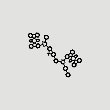 CC1(C)c2cc(-c3cccc(-c4cc(-c5ccc(-c6ccccc6)cc5)nc(-c5ccc6c(c5)C5(c7ccccc7-6)c6ccccc6C6(c7ccccc7-c7ccccc76)c6ccccc65)n4)c3)ccc2-c2ccc(-c3cc(-c4ccccc4)nc(-c4ccc5c(c4)C4(c6ccccc6-5)c5ccccc5C5(c6ccccc6-c6ccccc65)c5ccccc54)n3)cc21